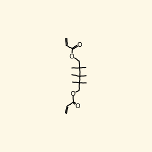 C=CC(=O)OCC(C)(C)C(C)(C)C(C)(C)COC(=O)C=C